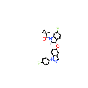 C[C@H]1[C@H](Oc2ccc3c(cnn3-c3ccc(F)cc3)c2)c2ccc(F)cc2N1C(=O)C1(C)CC1